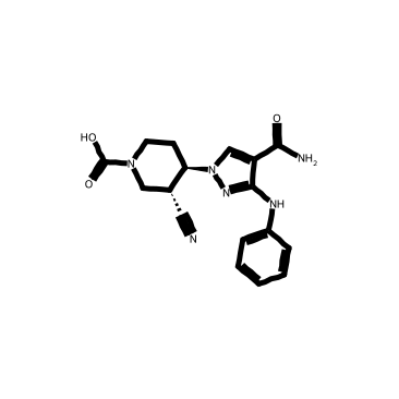 N#C[C@@H]1CN(C(=O)O)CC[C@H]1n1cc(C(N)=O)c(Nc2ccccc2)n1